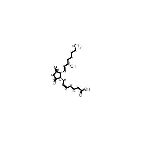 CCCCC[C@H](O)/C=C/[C@H]1C(=O)CC(=O)[C@@H]1C/C=C\CCCC(=O)O